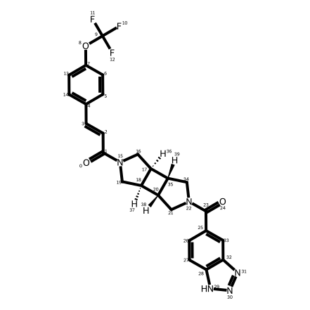 O=C(/C=C/c1ccc(OC(F)(F)F)cc1)N1C[C@@H]2[C@H](C1)[C@H]1CN(C(=O)c3ccc4[nH]nnc4c3)C[C@@H]21